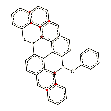 c1ccc(OP(Oc2ccccc2)c2ccc3ccccc3c2-c2c(P(Oc3ccccc3)Oc3ccccc3)ccc3ccccc23)cc1